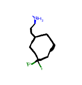 NCC1CCCC(F)(F)C1